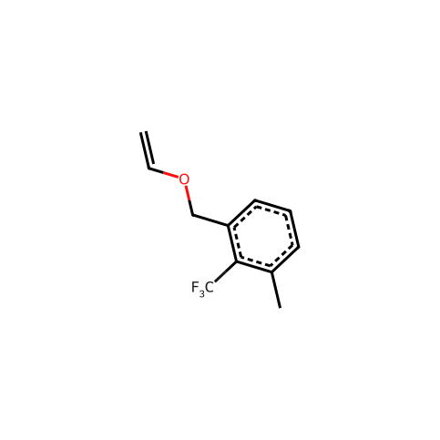 C=COCc1cccc(C)c1C(F)(F)F